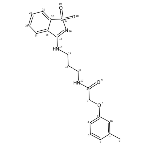 Cc1cccc(OCC(=O)NCCCNC2=NS(=O)(=O)c3ccccc32)c1